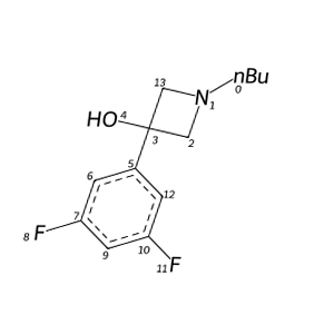 CCCCN1CC(O)(c2cc(F)cc(F)c2)C1